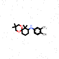 CC1(C)COC2(CCCC(Nc3ccc(C#N)c(C(F)(F)F)c3)C2(C)C)OC1